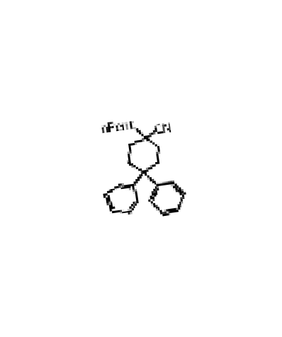 CCCCCC1(C#N)CCC(c2ccccc2)(c2ccccc2)CC1